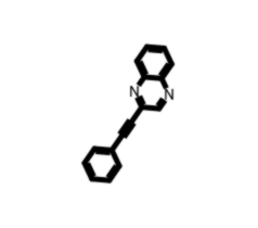 C(#Cc1cnc2ccccc2n1)c1ccccc1